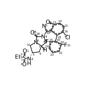 CCS(=O)(=O)N[C@H]1C[C@H]2CN(c3noc4ccc(Cl)c(-c5c(F)cccc5F)c34)C(=O)N2C1